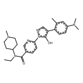 CCN(C(=O)c1ccc(-n2ncc(-c3ccc(N(C)C)cc3C)c2O)nc1)C1CCN(C)CC1